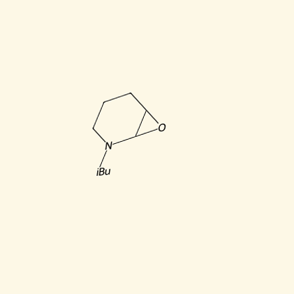 CCC(C)N1CCCC2OC21